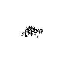 COc1cc(-n2cccn2)ccc1-c1nc2c(C)cn([C@H](CO)C3CC3)c2nc1C